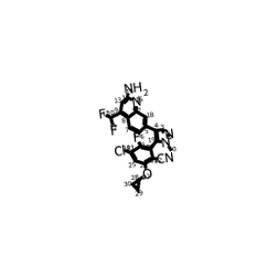 Cn1ncc(-c2ccc3c(C(F)F)cc(N)nc3c2)c1-c1c(F)c(Cl)cc(OC2CC2)c1C#N